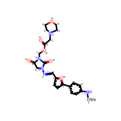 CONc1ccc(-c2ccc(/C=N/N3CC(=O)N(COC(=O)CN4CCOCC4)C3=O)o2)cc1